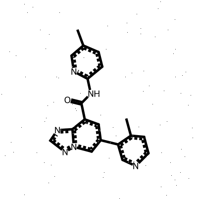 Cc1ccc(NC(=O)c2cc(-c3cnccc3C)cn3ncnc23)nc1